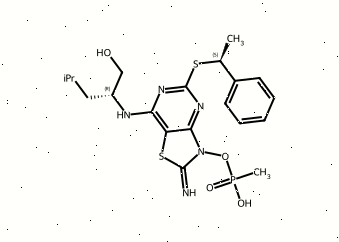 CC(C)C[C@H](CO)Nc1nc(S[C@@H](C)c2ccccc2)nc2c1sc(=N)n2OP(C)(=O)O